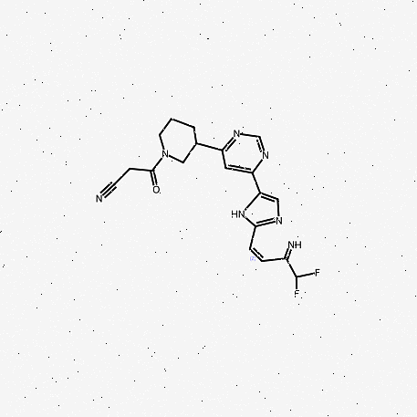 N#CCC(=O)N1CCCC(c2cc(-c3cnc(/C=C\C(=N)C(F)F)[nH]3)ncn2)C1